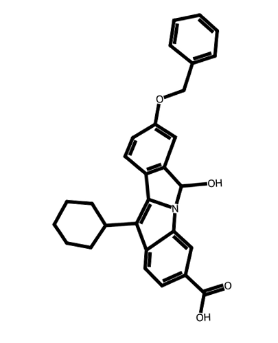 O=C(O)c1ccc2c(C3CCCCC3)c3n(c2c1)C(O)c1cc(OCc2ccccc2)ccc1-3